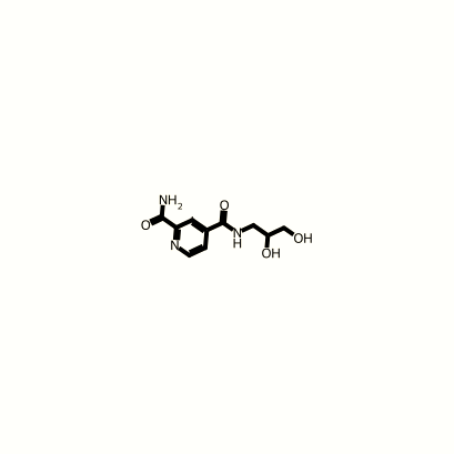 NC(=O)c1[c]c(C(=O)NCC(O)CO)ccn1